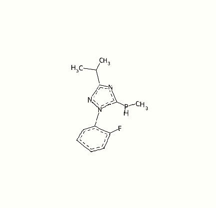 CPc1nc(C(C)C)nn1-c1ccccc1F